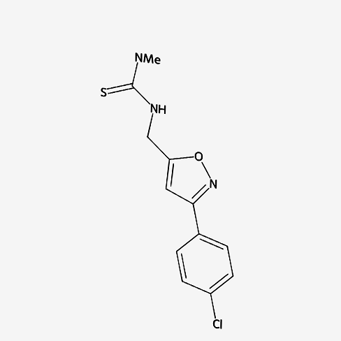 CNC(=S)NCc1cc(-c2ccc(Cl)cc2)no1